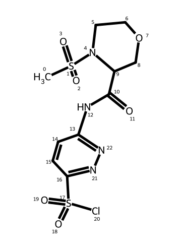 CS(=O)(=O)N1CCOCC1C(=O)Nc1ccc(S(=O)(=O)Cl)nn1